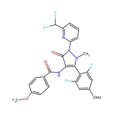 COc1cc(F)c(-c2c(NC(=O)c3ccc(OC(F)(F)F)cc3)c(=O)n(-c3cccc(C(F)F)n3)n2C)c(F)c1